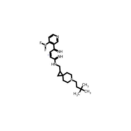 CC(C)(C)CCN1CCC2(CC1)CC2CNC(=N)/C=C\C(=N)c1cnccc1N(F)F